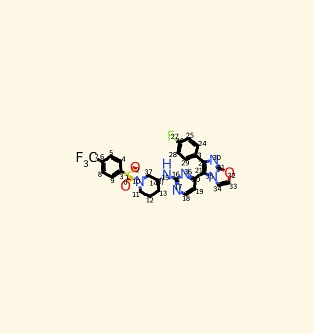 O=S(=O)(c1ccc(C(F)(F)F)cc1)N1CCC[C@@H](Nc2nccc(-c3c(-c4ccc(F)cc4)nc4occn34)n2)C1